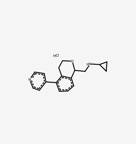 Cl.c1cc(-c2ccncc2)c2c(c1)C(CNC1CC1)OCC2